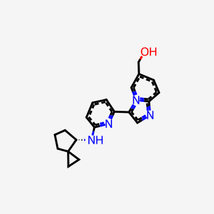 OCc1ccc2ncc(-c3cccc(N[C@H]4CCCC45CC5)n3)n2c1